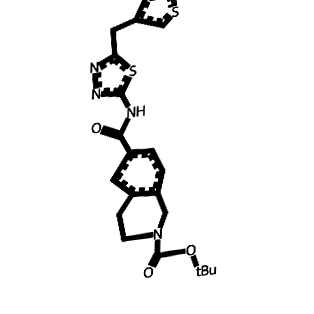 CC(C)(C)OC(=O)N1CCc2cc(C(=O)Nc3nnc(Cc4ccsc4)s3)ccc2C1